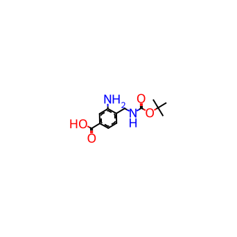 CC(C)(C)OC(=O)NCc1ccc(C(=O)O)cc1N